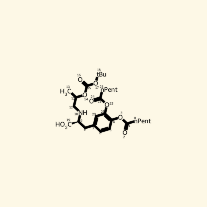 CCCCCC(=O)Oc1ccc(C[C@H](NCC(C)OC(=O)OC(C)(C)C)C(=O)O)cc1OC(=O)CCCCC